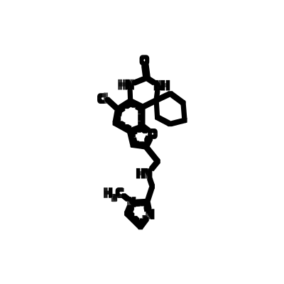 Cn1ccnc1CNCc1cc2cc(Cl)c3c(c2o1)C1(CCCCC1)NC(=O)N3